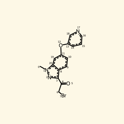 Cn1nc(C(=O)CBr)c2ccc(Oc3cccnc3)cc21